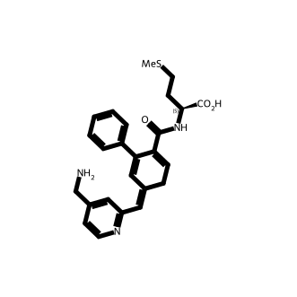 CSCC[C@H](NC(=O)C1=CCC(=Cc2cc(CN)ccn2)C=C1c1ccccc1)C(=O)O